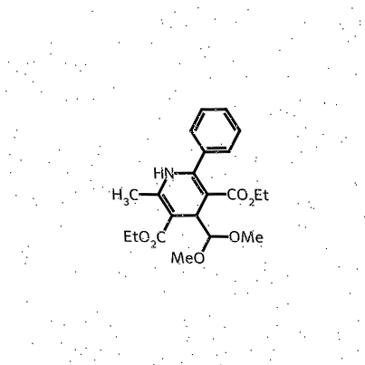 CCOC(=O)C1=C(C)NC(c2ccccc2)=C(C(=O)OCC)C1C(OC)OC